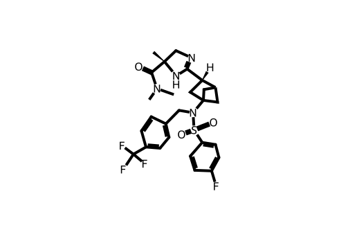 CN(C)C(=O)[C@]1(C)CN=C([C@H]2CC3(N(Cc4ccc(C(F)(F)F)cc4)S(=O)(=O)c4ccc(F)cc4)CC2C3)N1